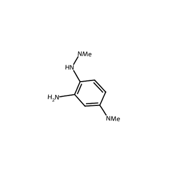 CNNc1ccc(NC)cc1N